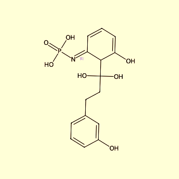 O=P(O)(O)/N=C1\C=CC=C(O)C1C(O)(O)CCc1cccc(O)c1